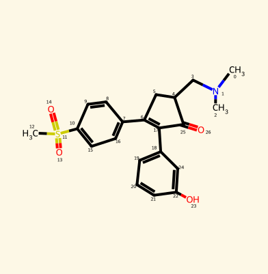 CN(C)CC1CC(c2ccc(S(C)(=O)=O)cc2)=C(c2cccc(O)c2)C1=O